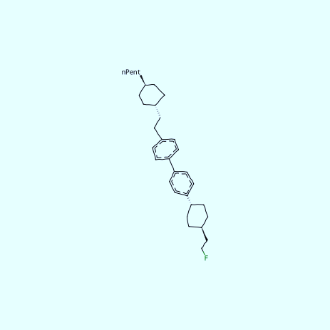 CCCCC[C@H]1CC[C@H](CCc2ccc(-c3ccc([C@H]4CC[C@H](CCF)CC4)cc3)cc2)CC1